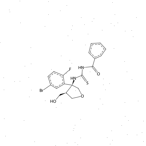 O=C(NC(=S)N[C@@]1(c2cc(Br)ccc2F)COC[C@H]1CO)c1ccccc1